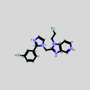 FCCn1c(Cn2ccnc2-c2cccc(F)c2)nc2cnccc21